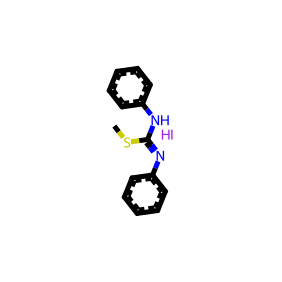 CS/C(=N\c1ccccc1)Nc1ccccc1.I